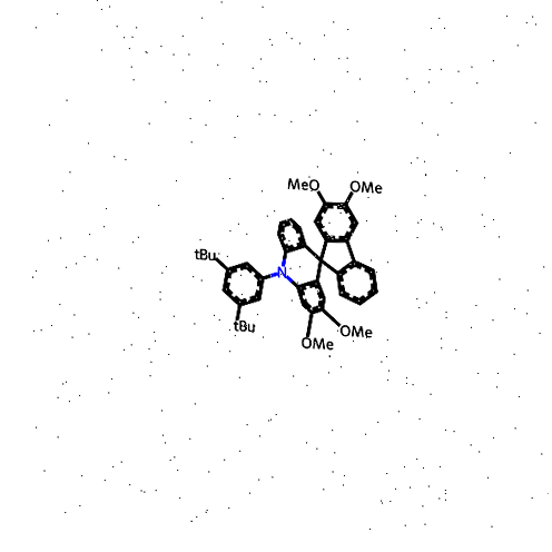 COc1cc2c(cc1OC)C1(c3ccccc3-2)c2ccccc2N(c2cc(C(C)(C)C)cc(C(C)(C)C)c2)c2cc(OC)c(OC)cc21